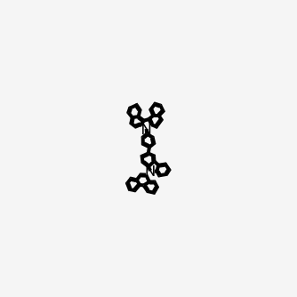 c1ccc2c(c1)cc(-n1c3ccccc3c3cc(-c4ccc(-n5c6ccc7ccccc7c6c6c7ccccc7ccc65)cc4)ccc31)c1ccccc12